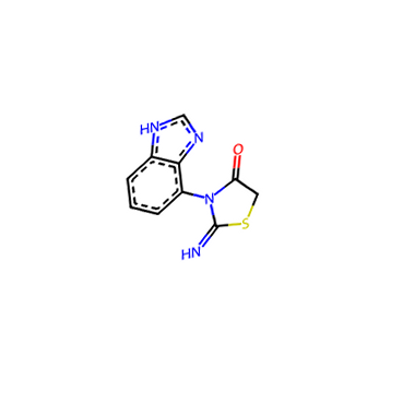 N=C1SCC(=O)N1c1cccc2[nH]cnc12